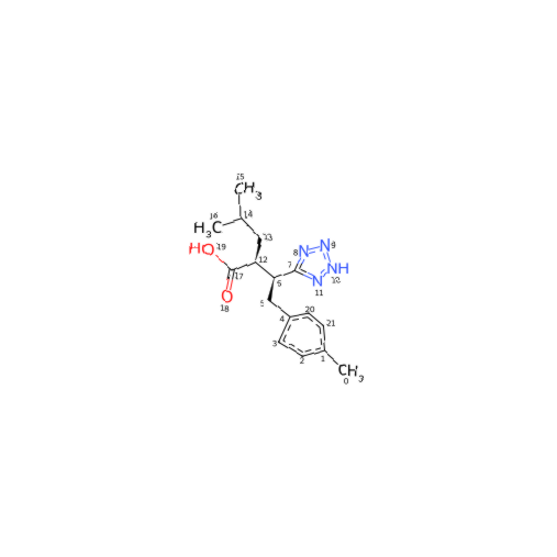 Cc1ccc(C[C@H](c2nn[nH]n2)[C@H](CC(C)C)C(=O)O)cc1